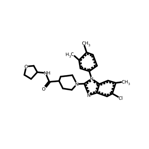 Cc1ccc(-n2c(N3CCC(C(=O)NC4CCOC4)CC3)nc3cc(Cl)c(C)cc32)cc1C